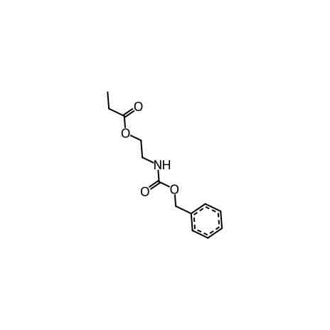 CCC(=O)OCCNC(=O)OCc1ccccc1